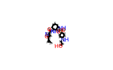 O=C(N[C@H]1CC=CC[C@H](NS(=O)(=O)[C@H]2CC[C@@H](NCCO)CC2)C1)c1cc(C2CC2)on1